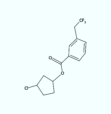 O=C(OC1CCC(Cl)C1)c1cccc(CC(F)(F)F)c1